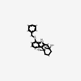 CN1[C@H]2CCC[C@@H]1c1c([nH]c3c(OCc4ccccc4)cccc13)C2